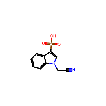 N#CCn1cc(S(=O)(=O)O)c2ccccc21